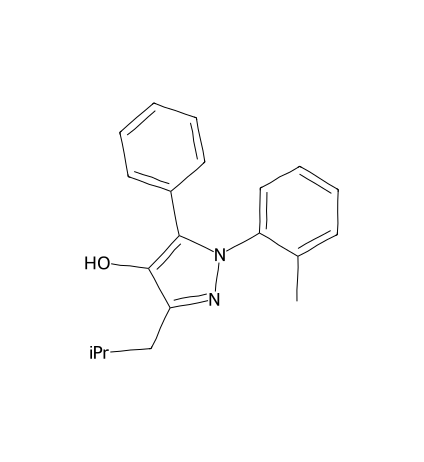 Cc1ccccc1-n1nc(CC(C)C)c(O)c1-c1ccccc1